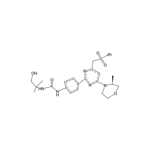 CC(C)S(=O)(=O)Cc1cc(N2CCOC[C@@H]2C)nc(-c2ccc(NC(=O)NC(C)(C)CO)cc2)n1